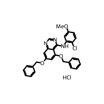 COc1ccc(Cl)c(Nc2ncnc3cc(OCc4ccccc4)cc(OCc4ccccc4)c23)c1.Cl